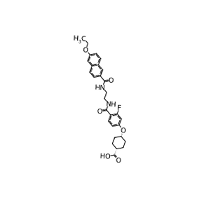 CCOc1ccc2cc(C(=O)NCCNC(=O)c3ccc(O[C@H]4CC[C@@H](C(=O)O)CC4)cc3F)ccc2c1